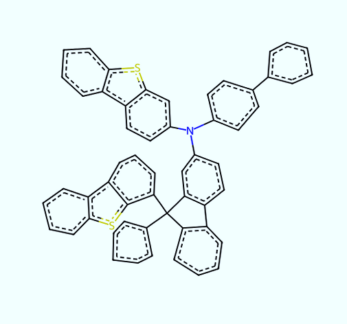 c1ccc(-c2ccc(N(c3ccc4c(c3)C(c3ccccc3)(c3cccc5c3sc3ccccc35)c3ccccc3-4)c3ccc4c(c3)sc3ccccc34)cc2)cc1